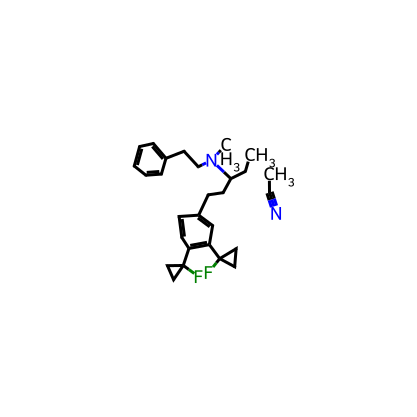 CC#N.CCC(CCc1ccc(C2(F)CC2)c(C2(F)CC2)c1)N(C)CCc1ccccc1